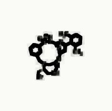 Cc1cccc(C)c1-c1cc2nc(n1)NS(=O)(=O)c1cccc(c1)CN1C[C@@H](CNC[C@@H]1CC(C)C)O2